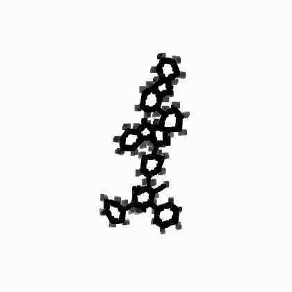 Cc1c(-c2ccccc2)nc(-c2ccccc2)nc1-c1ccc(-c2nc3cccc(-c4cccc5c4sc4ccccc45)c3c3sc4ccccc4c23)cc1